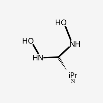 [CH2][C@@H](C)C(NO)NO